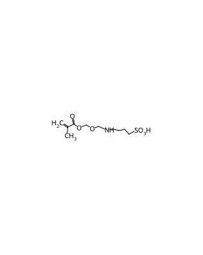 C=C(C)C(=O)OCOCNCCCCS(=O)(=O)O